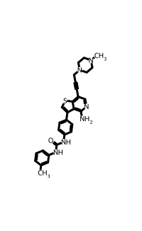 Cc1cccc(NC(=O)Nc2ccc(-c3csc4c(C#CCN5CCN(C)CC5)cnc(N)c34)cc2)c1